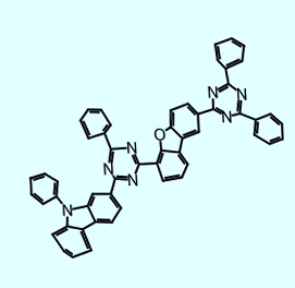 c1ccc(-c2nc(-c3ccccc3)nc(-c3ccc4oc5c(-c6nc(-c7ccccc7)nc(-c7ccc8c9ccccc9n(-c9ccccc9)c8c7)n6)cccc5c4c3)n2)cc1